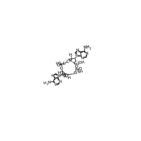 Nc1ncnc2c1ncn2[C@H]1[C@H](O)[C@@H]2OP(=O)(S)OC[C@H]3O[C@@H](n4cnc5c(N)ncnc54)[C@H](OP(=O)(S)OCC24C[C@H]14)[C@@H]3O